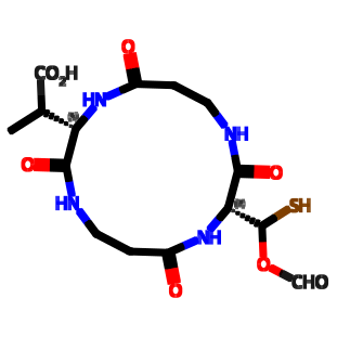 CC(C(=O)O)[C@@H]1NC(=O)CCNC(=O)[C@H](C(S)OC=O)NC(=O)CCNC1=O